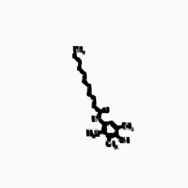 CCCCCCCCCCC(=O)Nc1cc(C)c(O)c(C)c1C